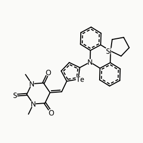 CN1C(=O)C(=Cc2ccc(N3c4ccccc4[Si]4(CCCC4)c4ccccc43)[te]2)C(=O)N(C)C1=S